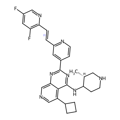 C[C@@H]1CNCCC1Nc1nc(-c2ccnc(/C=C/c3ncc(F)cc3F)c2)nc2cncc(C3CCC3)c12